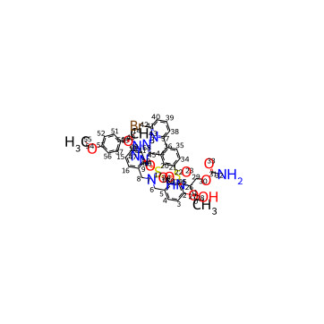 COc1ccc(CN(Cc2ccc(OC)cc2)S(=O)(=O)c2c(S(=O)(=O)NC(CO)COC(N)=O)ccc(-c3cccc(Br)n3)c2-c2nnn(Cc3ccc(OC)cc3)n2)cc1